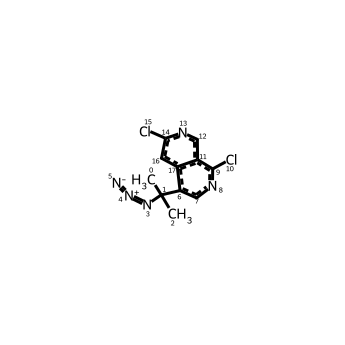 CC(C)(N=[N+]=[N-])c1cnc(Cl)c2cnc(Cl)cc12